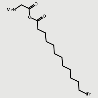 CNCC(=O)OC(=O)CCCCCCCCCCCC(C)C